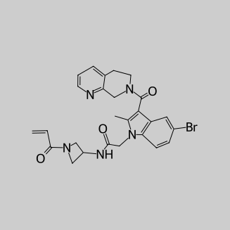 C=CC(=O)N1CC(NC(=O)Cn2c(C)c(C(=O)N3CCc4cccnc4C3)c3cc(Br)ccc32)C1